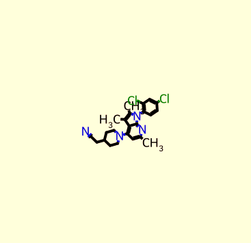 Cc1cc(N2CCC(CC#N)CC2)c2c(C)c(C)n(-c3ccc(Cl)cc3Cl)c2n1